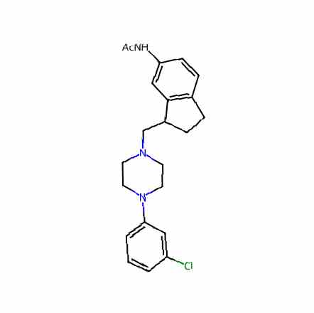 CC(=O)Nc1ccc2c(c1)C(CN1CCN(c3cccc(Cl)c3)CC1)CC2